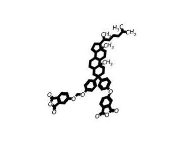 CC(C)CCCC(C)C1CCC2C3CCC4CC(c5ccc(OCOc6ccc7c(c6)C(=O)OC7=O)cc5)(c5ccc(Oc6ccc7c(c6)C(=O)OC7=O)cc5)CCC4(C)C3CCC12C